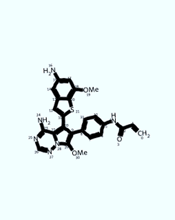 C=CC(=O)Nc1ccc(-c2c(-c3cc4cc(N)cc(OC)c4s3)c3c(N)ncnn3c2OC)cc1